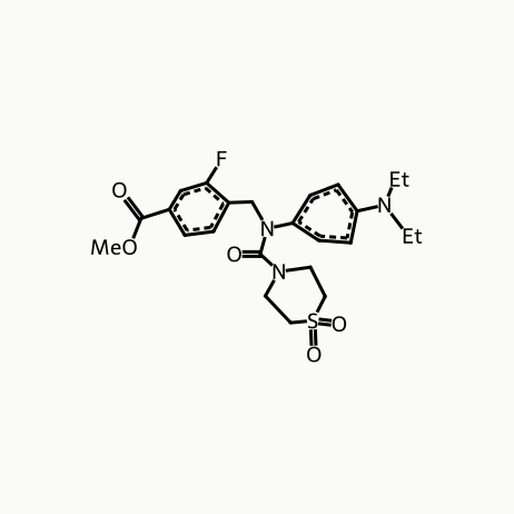 CCN(CC)c1ccc(N(Cc2ccc(C(=O)OC)cc2F)C(=O)N2CCS(=O)(=O)CC2)cc1